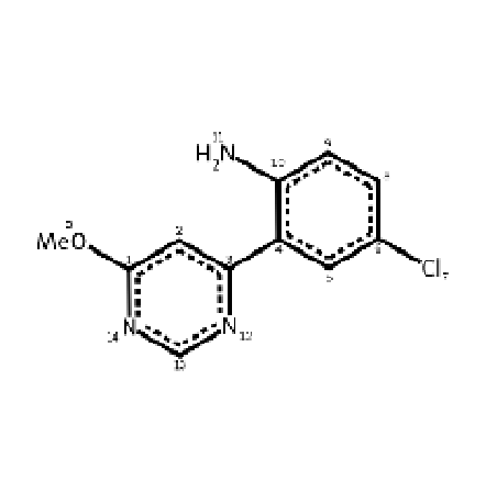 COc1cc(-c2cc(Cl)ccc2N)ncn1